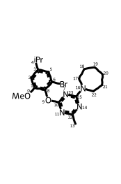 COc1cc(C(C)C)cc(Br)c1Oc1nc(C)nc(N2CCCCCC2)n1